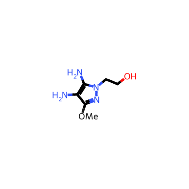 COc1nn(CCO)c(N)c1N